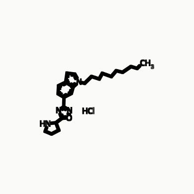 CCCCCCCCCCn1ccc2ccc(-c3noc(C4CCCN4)n3)cc21.Cl